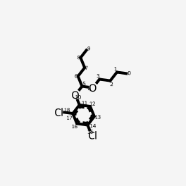 CCCCOC(CCCC)Oc1ccc(Cl)cc1Cl